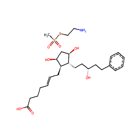 CS(=O)(=O)SCCN.O=C(O)CCCC=CC[C@@H]1[C@@H](CC[C@@H](O)CCc2ccccc2)[C@H](O)C[C@@H]1O